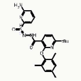 Cc1cc(C)c(Oc2nc(C(C)(C)C)ccc2C(=O)N/N=[SH](=O)\c2cccc(N)n2)c(C)c1